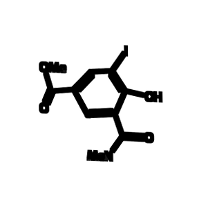 CNC(=O)c1cc(C(=O)OC)cc(I)c1O